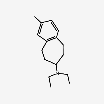 CCN(CC)C1CCc2ccc(C)cc2CC1